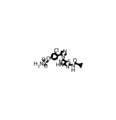 NS(=O)(=O)COc1ccc(-c2cncn2-c2n[nH]c3nc(NC(=O)C4CC4)sc23)c(Cl)c1